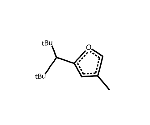 Cc1coc(C(C(C)(C)C)C(C)(C)C)c1